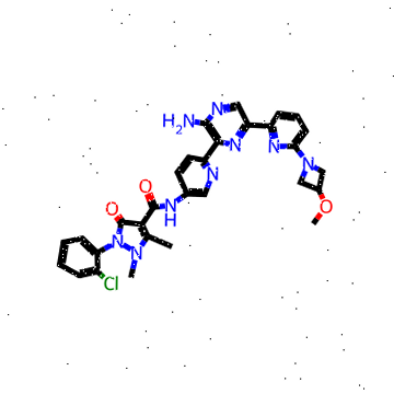 COC1CN(c2cccc(-c3cnc(N)c(-c4ccc(NC(=O)c5c(C)n(C)n(-c6ccccc6Cl)c5=O)cn4)n3)n2)C1